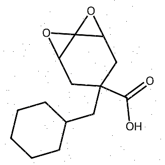 O=C(O)C1(CC2CCCCC2)CC2OC23OC3C1